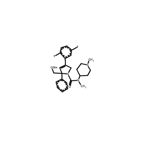 COCC1(c2ccccc2)C=C(c2cc(F)ccc2F)CN1C(=O)N(C)C1CCN(C)CC1